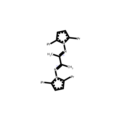 CC(=N\n1c(C(C)C)ccc1C(C)C)/C(C)=N/n1c(C(C)C)ccc1C(C)C